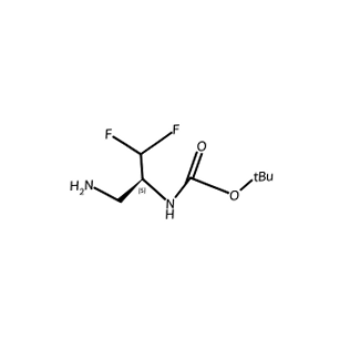 CC(C)(C)OC(=O)N[C@@H](CN)C(F)F